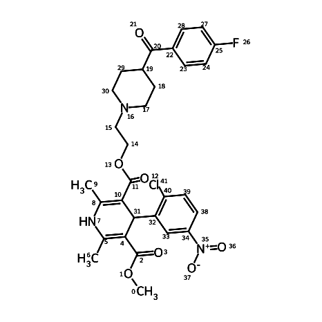 COC(=O)C1=C(C)NC(C)=C(C(=O)OCCN2CCC(C(=O)c3ccc(F)cc3)CC2)C1c1cc([N+](=O)[O-])ccc1Cl